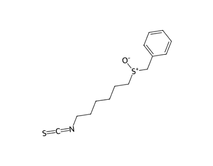 [O-][S+](CCCCCCN=C=S)Cc1ccccc1